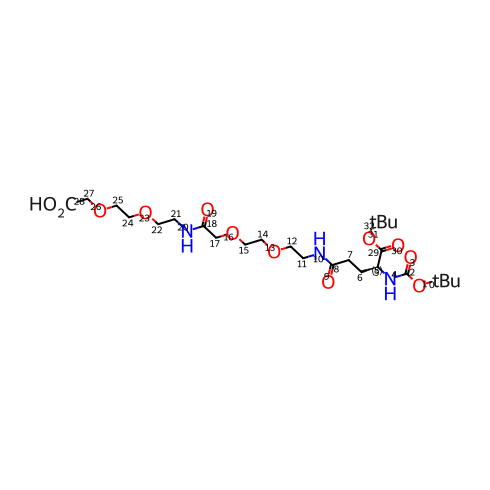 CC(C)(C)OC(=O)N[C@@H](CCC(=O)NCCOCCOCC(=O)NCCOCCOCC(=O)O)C(=O)OC(C)(C)C